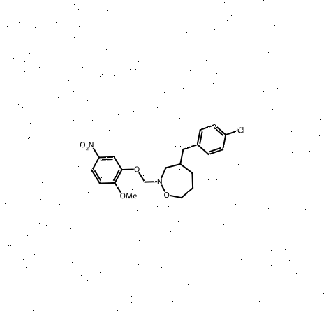 COc1ccc([N+](=O)[O-])cc1OCN1CC(Cc2ccc(Cl)cc2)CCCO1